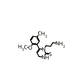 COc1ccc(C)cc1C1=CCNC(=S)N1CCCN